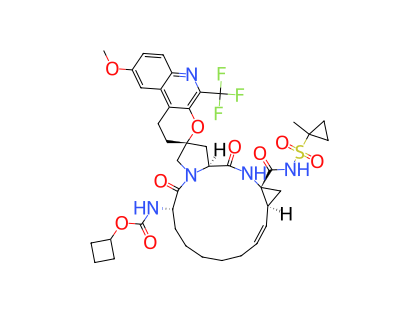 COc1ccc2nc(C(F)(F)F)c3c(c2c1)CC[C@]1(C[C@H]2C(=O)N[C@]4(C(=O)NS(=O)(=O)C5(C)CC5)C[C@H]4/C=C\CCCCC[C@H](NC(=O)OC4CCC4)C(=O)N2C1)O3